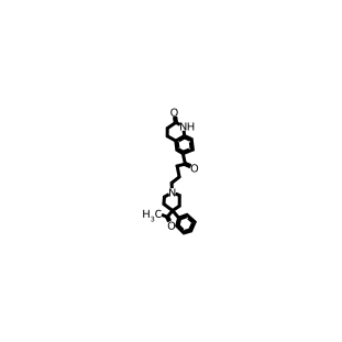 CC(=O)C1(c2ccccc2)CCN(CCCC(=O)c2ccc3c(c2)CCC(=O)N3)CC1